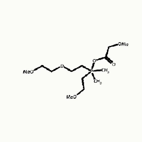 COCCOCCP(C)(C)(CCOC)OC(=O)COC